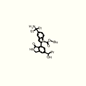 CCC(N)(CC)c1ccc2c(c1)cc(-c1cc(C(O)C(C)C)cc3c1C(=O)NC3)n2C(=O)OC(C)(C)C